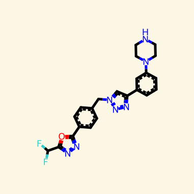 FC(F)c1nnc(-c2ccc(Cn3cc(-c4cccc(N5CCNCC5)c4)nn3)cc2)o1